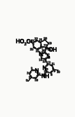 Cc1ccnc(Nc2cc(C)cc(-c3cnc([C@@]4(O)CCc5cc(C(=O)O)ccc54)s3)n2)c1